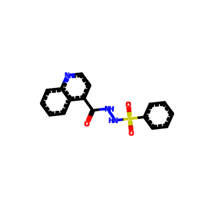 O=C(NNS(=O)(=O)c1ccccc1)c1ccnc2ccccc12